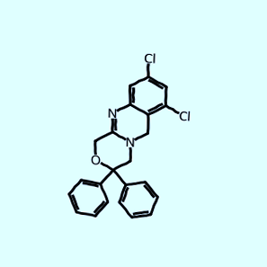 Clc1cc(Cl)c2c(c1)N=C1COC(c3ccccc3)(c3ccccc3)CN1C2